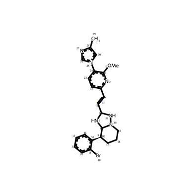 COc1nc(/C=C/C2NC3[C@H](c4ccccc4Br)CCCN3N2)ccc1-n1cnc(C)c1